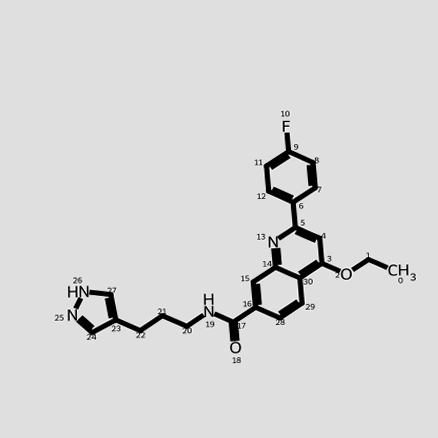 CCOc1cc(-c2ccc(F)cc2)nc2cc(C(=O)NCCCc3cn[nH]c3)ccc12